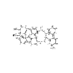 C=C1CC2C(CCc3ccc4c(oc5nc(C)ccc54)c3-c3cc(-c4ccc(F)c(CC(C)C)c4)cc[n+]31)c1cc(C(C)C)ccc1-c1cccc[n+]12